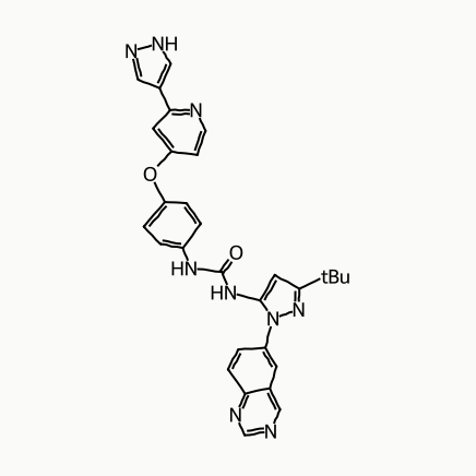 CC(C)(C)c1cc(NC(=O)Nc2ccc(Oc3ccnc(-c4cn[nH]c4)c3)cc2)n(-c2ccc3ncncc3c2)n1